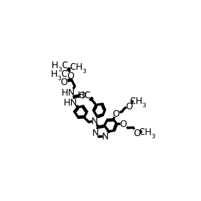 C#Cc1cccc(N(Cc2ccc(NC(=O)NCC(=O)OC(C)(C)C)cc2)c2ncnc3cc(OCCOC)c(OCCOC)cc23)c1